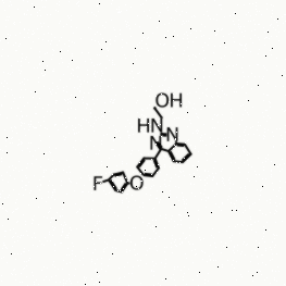 OCCNc1nc(-c2ccc(Oc3ccc(F)cc3)cc2)c2ccccc2n1